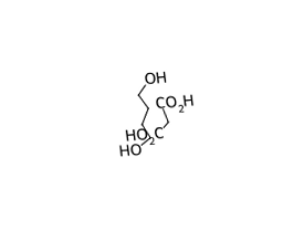 O=C(O)CC(=O)O.OCCCCO